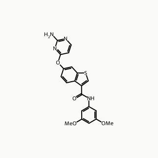 COc1cc(NC(=O)c2csc3cc(Oc4ccnc(N)n4)ccc23)cc(OC)c1